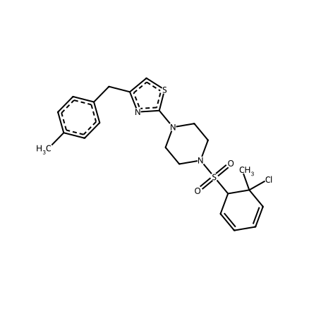 Cc1ccc(Cc2csc(N3CCN(S(=O)(=O)C4C=CC=CC4(C)Cl)CC3)n2)cc1